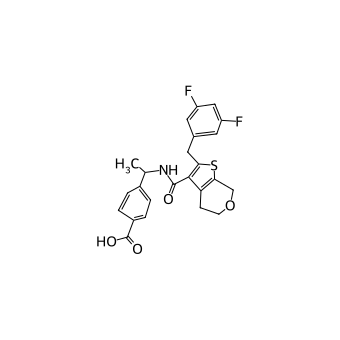 CC(NC(=O)c1c(Cc2cc(F)cc(F)c2)sc2c1CCOC2)c1ccc(C(=O)O)cc1